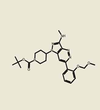 CNc1nn(C2CCN(C(=O)OC(C)(C)C)CC2)c2cc(-c3ccccc3OCOC)nnc12